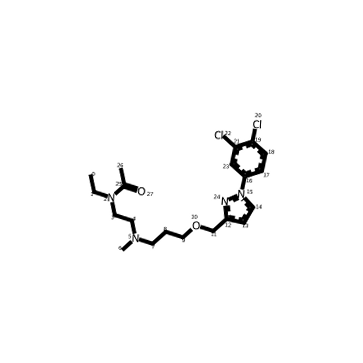 CCN(CCN(C)CCCOCc1ccn(-c2ccc(Cl)c(Cl)c2)n1)C(C)=O